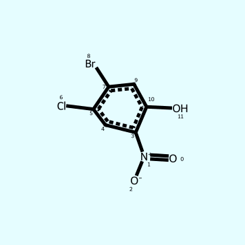 O=[N+]([O-])c1cc(Cl)c(Br)cc1O